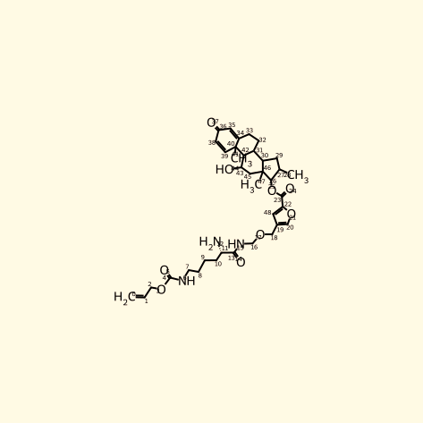 C=CCOC(=O)NCCCC[C@H](N)C(=O)NCOCc1coc(C(=O)OC2C(C)CC3C4CCC5=CC(=O)C=CC5(C)C4C(O)CC32C)c1